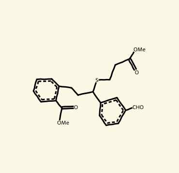 COC(=O)CCSC(CCc1ccccc1C(=O)OC)c1cccc(C=O)c1